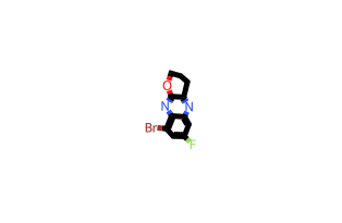 Fc1cc(Br)c2nc3c(nc2c1)CCCO3